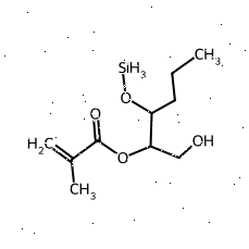 C=C(C)C(=O)OC(CO)C(CCC)O[SiH3]